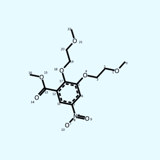 COCCOc1cc([N+](=O)[O-])cc(C(=O)OC)c1OCCOC